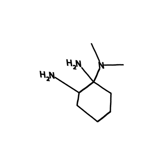 CN(C)C1(N)CCCCC1N